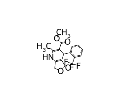 COC(=O)C1=C(C)NC2=C(C(=O)OC2)C1c1ccccc1C(F)(F)F